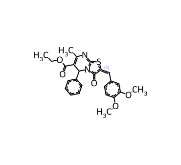 CCOC(=O)C1=C(C)N=c2s/c(=C/c3ccc(OC)c(OC)c3)c(=O)n2C1c1ccccc1